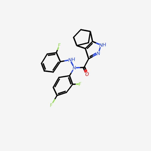 O=C(c1n[nH]c2c1C1CCC2C1)N(Nc1ccccc1F)c1ccc(F)cc1F